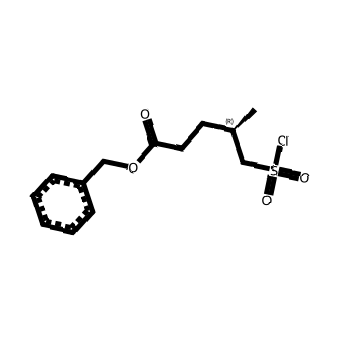 C[C@H](CCC(=O)OCc1ccccc1)CS(=O)(=O)Cl